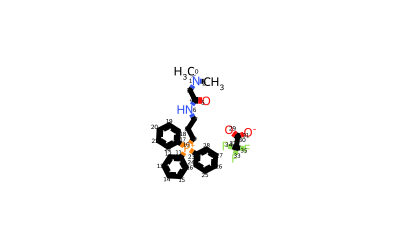 CN(C)CC(=O)NCCC[P+](c1ccccc1)(c1ccccc1)c1ccccc1.O=C([O-])C(F)(F)F